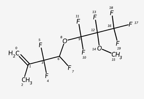 C=C(C)C(F)(F)C(F)OC(F)(F)C(F)(OC)C(F)(F)F